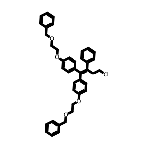 ClCCC(=C(c1ccc(OCCOCc2ccccc2)cc1)c1ccc(OCCOCc2ccccc2)cc1)c1ccccc1